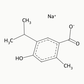 Cc1cc(O)c(C(C)C)cc1C(=O)[O-].[Na+]